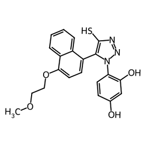 COCCOc1ccc(-c2c(S)nnn2-c2ccc(O)cc2O)c2ccccc12